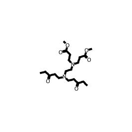 CCC(=O)CCN(CCC(=O)CC)CCN(CCC(=O)OC)CCC(=O)OC